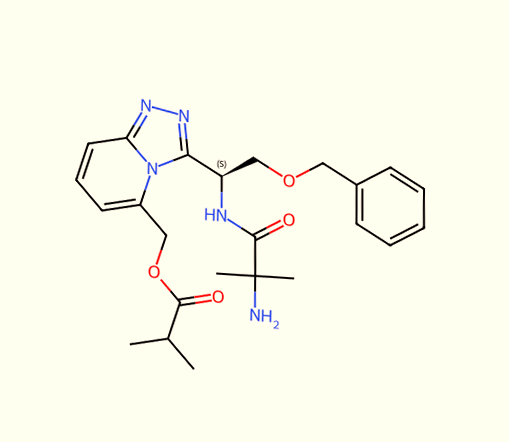 CC(C)C(=O)OCc1cccc2nnc([C@@H](COCc3ccccc3)NC(=O)C(C)(C)N)n12